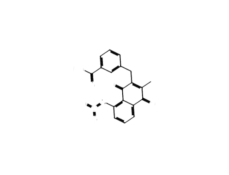 CC1=C(Cc2cccc(C(=O)O)c2)C(=O)c2c(N=S(=O)=O)cccc2C1=O